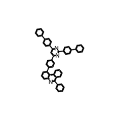 c1ccc(-c2ccc(-c3cc(-c4ccc(-c5cccc6nc(-c7ccccc7)c7ccccc7c56)cc4)nc(-c4ccc(-c5ccccc5)cc4)n3)cc2)cc1